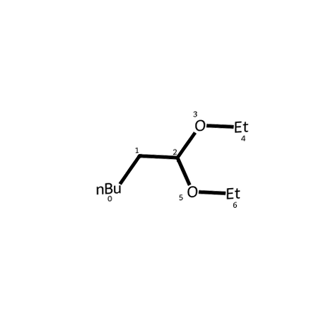 CCCCC[C](OCC)OCC